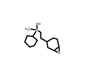 C[Si](O)(CCC1CCC2OC2C1)C1CCCCC1